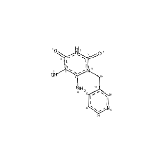 Nc1c(N=O)c(=O)[nH]c(=O)n1Cc1cccnc1